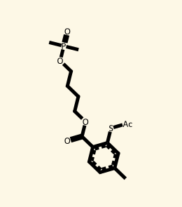 CC(=O)Sc1cc(C)ccc1C(=O)OCCCCOP(C)(C)=O